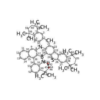 Cc1cc2c(cc1N1c3cc4ccccc4c4c3B(c3c1ccc1c3sc3cc5c(cc31)C(C)(C)CCC5(C)C)N1c3ccccc3C(C)(C)c3cccc-4c31)C(C)(C)CCC2(C)C